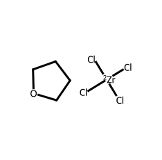 C1CCOC1.[Cl][2Zr]([Cl])([Cl])[Cl]